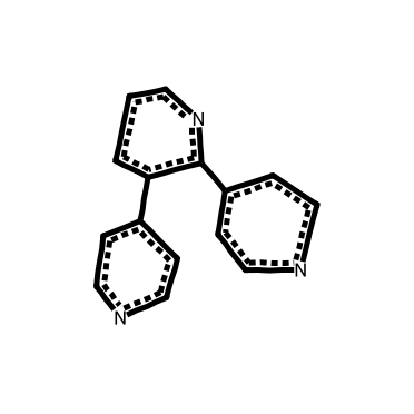 c1cnc(-c2ccncc2)c(-c2ccncc2)c1